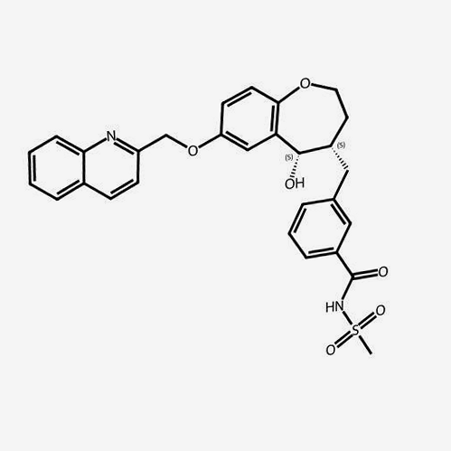 CS(=O)(=O)NC(=O)c1cccc(C[C@H]2CCOc3ccc(OCc4ccc5ccccc5n4)cc3[C@H]2O)c1